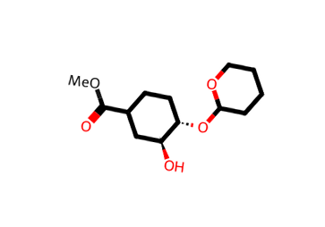 COC(=O)C1CC[C@H](OC2CCCCO2)[C@@H](O)C1